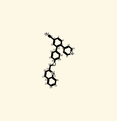 N#Cc1ccc(-c2ccncc2)c(-c2ccc(OCc3ccc4ccccc4n3)cc2)c1